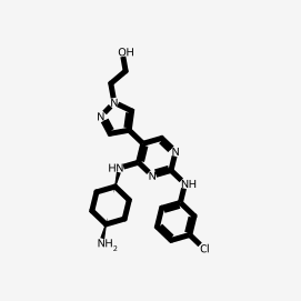 N[C@H]1CC[C@@H](Nc2nc(Nc3cccc(Cl)c3)ncc2-c2cnn(CCO)c2)CC1